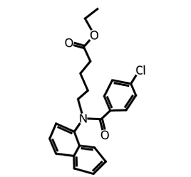 CCOC(=O)CCCCN(C(=O)c1ccc(Cl)cc1)c1cccc2ccccc12